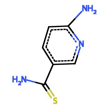 NC(=S)c1ccc(N)nc1